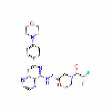 O=C(C(F)F)N1CCO[C@H](CNc2nc(-c3ccc(N4CCOCC4)cc3)cc3nccnc23)C1